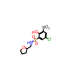 O=[N+]([O-])c1cc(Cl)cc(S(=O)(=O)NCC2CCCO2)c1O